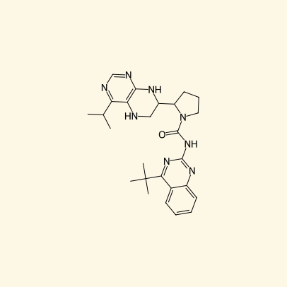 CC(C)c1ncnc2c1NCC(C1CCCN1C(=O)Nc1nc(C(C)(C)C)c3ccccc3n1)N2